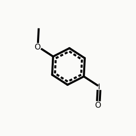 COc1ccc(I=O)cc1